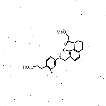 COCC(=O)N1CCCc2ccc(CNc3ccc(CCC(=O)O)c(F)c3)c(C)c21